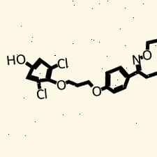 CCON=C(CC)c1ccc(OCCCOc2c(Cl)cc(O)cc2Cl)cc1